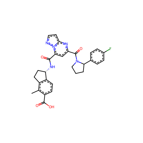 Cc1c(C(=O)O)ccc2c1CC[C@@H]2NC(=O)c1cc(C(=O)N2CCCC2c2ccc(F)cc2)nc2ccnn12